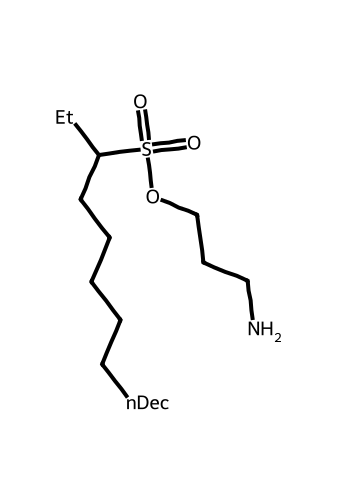 CCCCCCCCCCCCCCCC(CC)S(=O)(=O)OCCCN